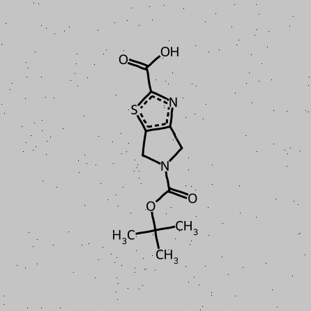 CC(C)(C)OC(=O)N1Cc2nc(C(=O)O)sc2C1